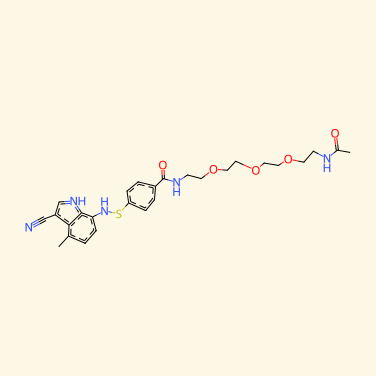 CC(=O)NCCOCCOCCOCCNC(=O)c1ccc(SNc2ccc(C)c3c(C#N)c[nH]c23)cc1